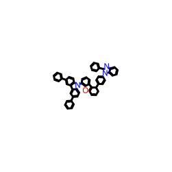 C1=Cc2oc3c(-n4c5ccc(-c6ccccc6)cc5c5cc(-c6ccccc6)ccc54)cccc3c2C(c2ccc(-n3c(-c4ccccc4)nc4ccccc43)cc2)C1